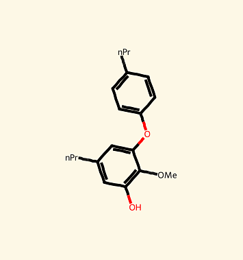 CCCc1ccc(Oc2cc(CCC)cc(O)c2OC)cc1